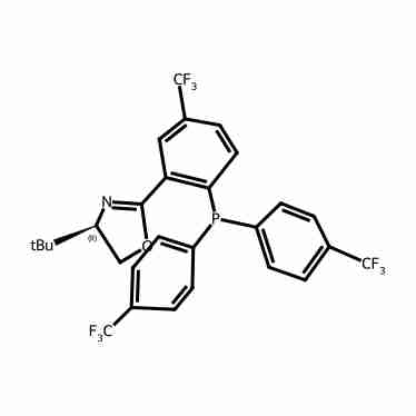 CC(C)(C)[C@@H]1COC(c2cc(C(F)(F)F)ccc2P(c2ccc(C(F)(F)F)cc2)c2ccc(C(F)(F)F)cc2)=N1